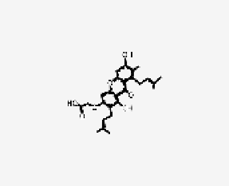 CC(C)=CCc1c(OCC(=O)O)cc2oc3cc(O)c(C)c(CC=C(C)C)c3c(=O)c2c1O